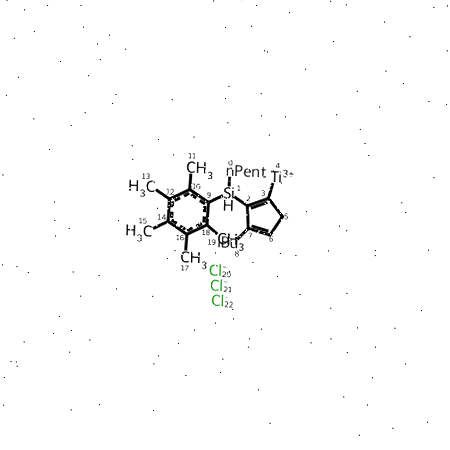 CCCCC[SiH](C1=[C]([Ti+3])CC=C1C(C)CC)c1c(C)c(C)c(C)c(C)c1C.[Cl-].[Cl-].[Cl-]